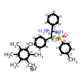 Cc1c(C)c(C)c(C)c(C)c1C.Cc1ccc(S(=O)(=O)N[C@](N)(c2ccccc2)[C@H](Cl)c2ccccc2)cc1.[Ru]